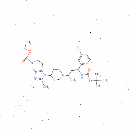 CCOC(=O)N1CCc2c(nc(C)n2C2CCN(C(C)C[C@H](NC(=O)OC(C)(C)C)c3cccc(F)c3)CC2)C1